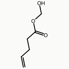 C=CCCC(=O)OCO